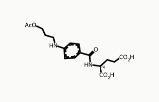 CC(=O)OCCCNc1ccc(C(=O)N[C@@H](CCC(=O)O)C(=O)O)cc1